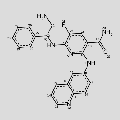 NC[C@H](Nc1nc(Nc2ccc3ncccc3c2)c(C(N)=O)cc1F)c1ccccc1